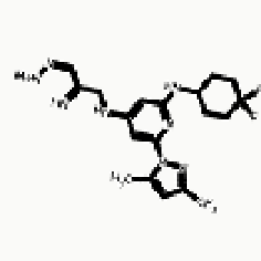 CN/N=C\C(=N)CNc1cc(NC2CCC(F)(F)CC2)nc(-n2nc(C)cc2C)c1